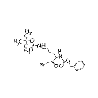 CC(C)(C)OC(=O)NCCCCC(NC(=O)OCc1ccccc1)C(=O)CBr